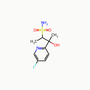 CC(C(C)(O)c1ccc(F)cn1)S(N)(=O)=O